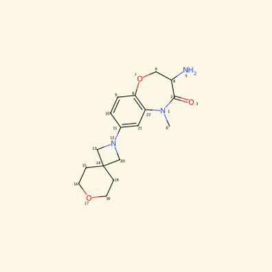 CN1C(=O)C(N)COc2ccc(N3CC4(CCOCC4)C3)cc21